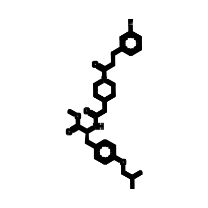 COC(=O)[C@H](Cc1ccc(OCC(C)C)cc1)NC(=O)CC1CCN(C(=O)CCc2cccc(F)c2)CC1